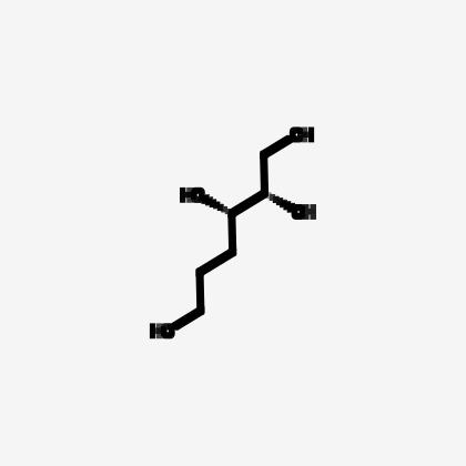 OCCC[C@H](O)[C@@H](O)CO